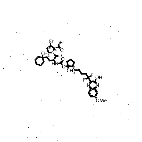 CC[C@@H]1CCN(C(=O)C(CCC2(C)CCCCC2)NC(=O)OC2(C)CCC[C@H]2CCCCC(F)(F)c2nc3ccc(OC)cc3nc2O)[C@@H]1C(=O)C(C)C